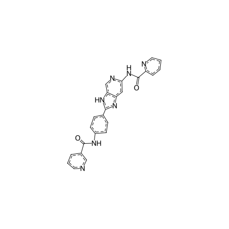 O=C(Nc1ccc(-c2nc3cc(NC(=O)c4ccccn4)ncc3[nH]2)cc1)c1cccnc1